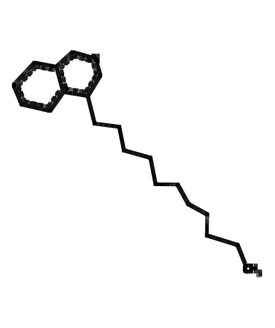 CCCCCCCCCCCc1cncc2ccccc12